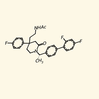 CC(=O)NCCC1(c2ccc(F)cc2)CCN([C@@H](C)c2ccc(-c3ccc(F)cc3F)cc2)C(=O)C1